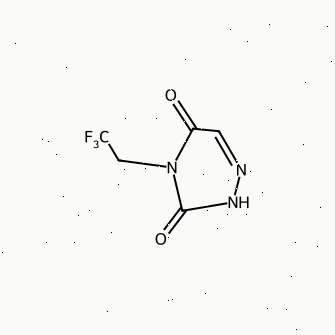 O=c1cn[nH]c(=O)n1CC(F)(F)F